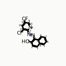 Oc1ccc2ccccc2c1/N=N/c1ncc(C(F)(F)F)cc1Cl